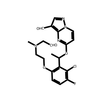 CC(Oc1ccn2ncc(C=O)c2n1)c1c(OCCN(C)CC=O)ccc(F)c1Cl